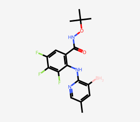 Bc1cc(C)cnc1Nc1c(C(=O)NOC(C)(C)C)cc(F)c(F)c1F